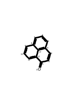 O=C1[C]=Cc2cccc3cccc1c23